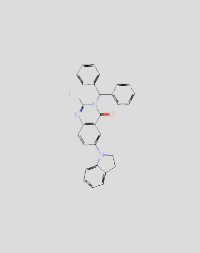 Cc1nc2ccc(N3CCc4ccccc43)cc2c(=O)n1C(c1ccccc1)c1ccccc1